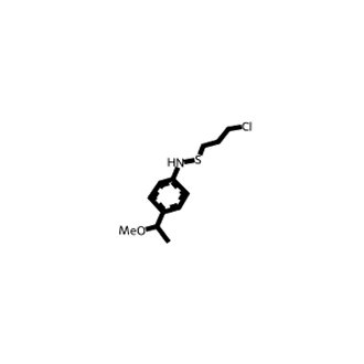 COC(C)c1ccc(NSCCCCl)cc1